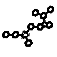 c1ccc(-c2ccc(-c3nc(-c4ccccc4)nc(-c4cccc(-c5ccc6c7ccccc7n(-c7cc(-c8ccccc8)cc(-c8ccccc8)c7)c6c5)c4)n3)cc2)cc1